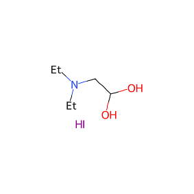 CCN(CC)CC(O)O.I